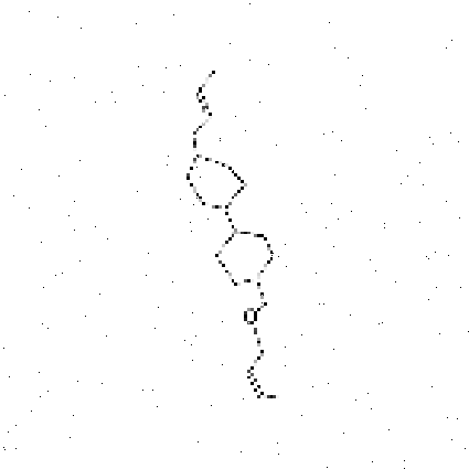 C/C=C\COCC1CCC(C2CCC(C/C=C/C)CC2)CC1